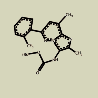 Cc1nc2c(C)cc(-c3ccccc3C(F)(F)F)nn2c1NC(=O)OC(C)(C)C